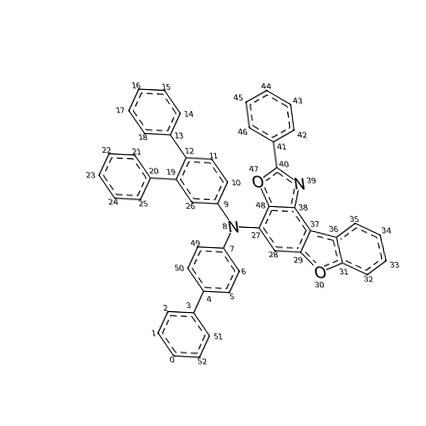 c1ccc(-c2ccc(N(c3ccc(-c4ccccc4)c(-c4ccccc4)c3)c3cc4oc5ccccc5c4c4nc(-c5ccccc5)oc34)cc2)cc1